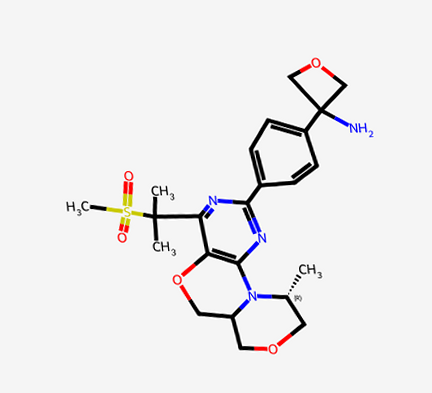 C[C@@H]1COCC2COc3c(nc(-c4ccc(C5(N)COC5)cc4)nc3C(C)(C)S(C)(=O)=O)N21